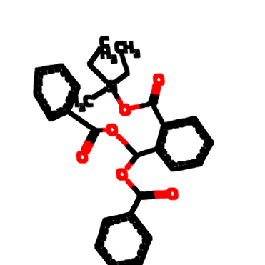 CC[Si](C)(CC)OC(=O)c1ccccc1C(OC(=O)c1ccccc1)OC(=O)c1ccccc1